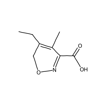 CCC1=C(C)C(C(=O)O)=NOC1